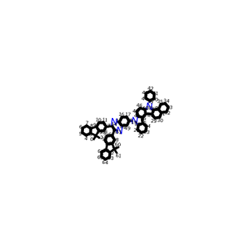 CC1(C)c2ccccc2-c2ccc(-c3nc4ccc(-n5c6ccccc6c6c7c8ccc9ccccc9c8n(-c8ccccc8)c7ccc65)cc4nc3-c3ccc4c(c3)C(C)(C)c3ccccc3-4)cc21